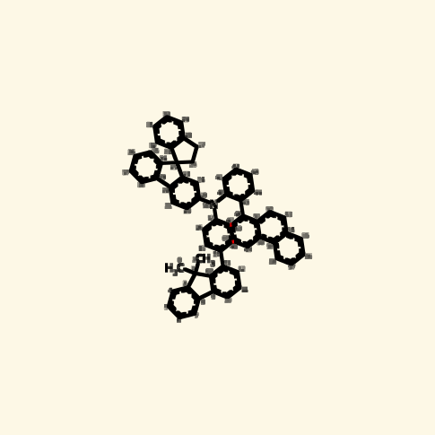 CC1(C)c2ccccc2-c2cccc(-c3ccc(N(c4ccc5c(c4)C4(CCc6ccccc64)c4ccccc4-5)c4ccccc4-c4cccc5c4ccc4ccccc45)cc3)c21